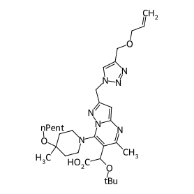 C=CCOCc1cn(Cc2cc3nc(C)c(C(OC(C)(C)C)C(=O)O)c(N4CCC(C)(OCCCCC)CC4)n3n2)nn1